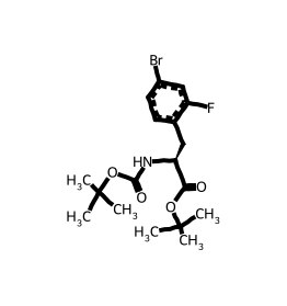 CC(C)(C)OC(=O)N[C@@H](Cc1ccc(Br)cc1F)C(=O)OC(C)(C)C